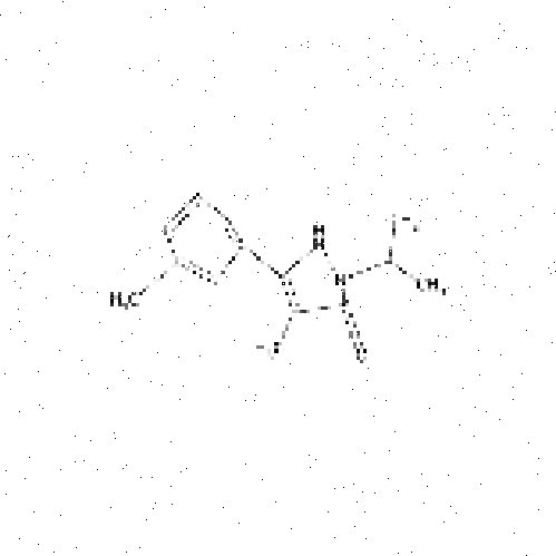 Cc1cccc(-c2[nH]n(C(C)C)c(=O)c2C)c1